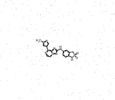 Cn1cc(-c2nccn3nc(Nc4ccc5c(c4)CS(=O)(=O)N5)nc23)cn1